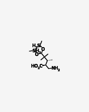 C[SiH2]OC(O[SiH2]C)C(C)(C)[C@H](C)[C@@H](CN)C(=O)O